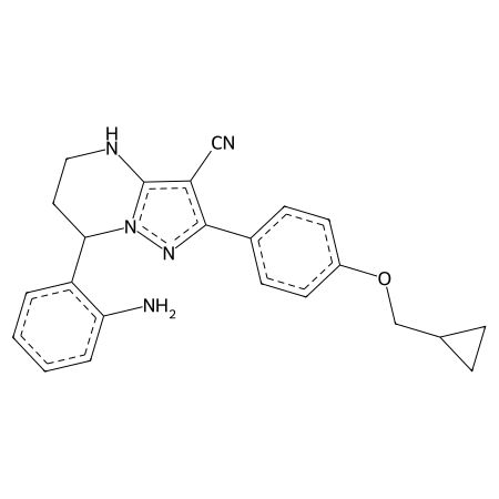 N#Cc1c(-c2ccc(OCC3CC3)cc2)nn2c1NCCC2c1ccccc1N